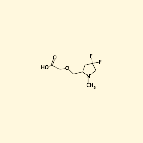 CN1CC(F)(F)CC1COCC(=O)O